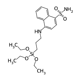 CCO[Si](CCCNc1ccc(S(N)(=O)=O)c2ccccc12)(OCC)OCC